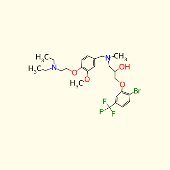 CCN(CC)CCOc1ccc(CN(C)CC(O)COc2cc(C(F)(F)F)ccc2Br)cc1OC